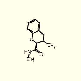 CC1Cc2ccccc2OC1C(=O)NO